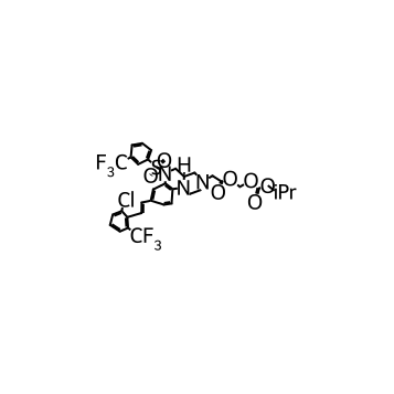 CC(C)OC(=O)OCOC(=O)CN1CCN2c3ccc(/C=C/c4c(Cl)cccc4C(F)(F)F)cc3N(S(=O)(=O)c3cccc(C(F)(F)F)c3)C[C@@H]2C1